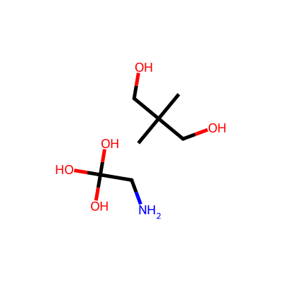 CC(C)(CO)CO.NCC(O)(O)O